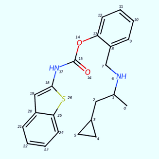 CC(CC1CC1)NCc1ccccc1OC(=O)Nc1cc2ccccc2s1